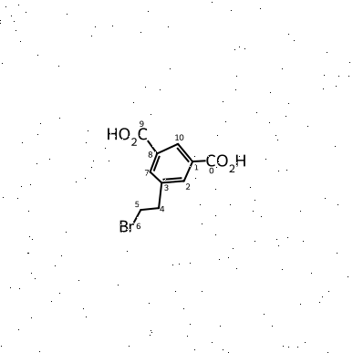 O=C(O)c1cc(CCBr)cc(C(=O)O)c1